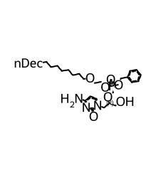 CCCCCCCCCCCCCCCCCCOCCO[P@@](=O)(CO[C@@H](CO)Cn1ccc(N)nc1=O)OCc1ccccc1